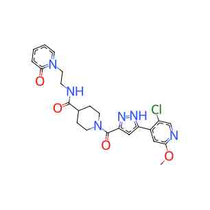 COc1cc(-c2cc(C(=O)N3CCC(C(=O)NCCn4ccccc4=O)CC3)n[nH]2)c(Cl)cn1